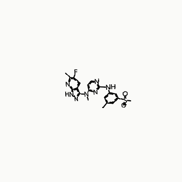 Cc1cc(Nc2nccc(N(C)c3n[nH]c4nc(C)c(F)cc34)n2)cc(S(C)(=O)=O)c1